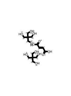 O=C(O)C=CC(=O)O.OCC(CO)(CO)CO.OCC(CO)(CO)CO